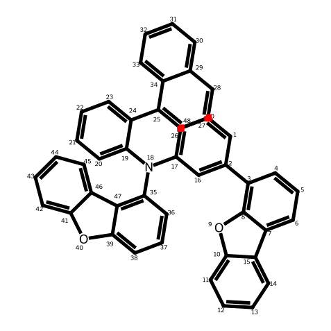 c1cc(-c2cccc3c2oc2ccccc23)cc(N(c2ccccc2-c2cccc3ccccc23)c2cccc3oc4ccccc4c23)c1